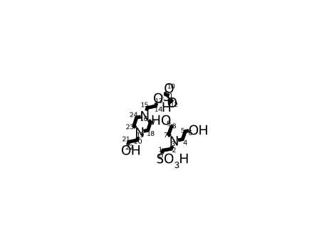 O=S(=O)(O)CCN(CCO)CCO.O=[SH](=O)OCCN1CCN(CCO)CC1